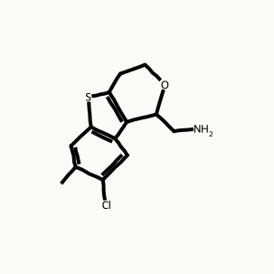 Cc1cc2sc3c(c2cc1Cl)C(CN)OCC3